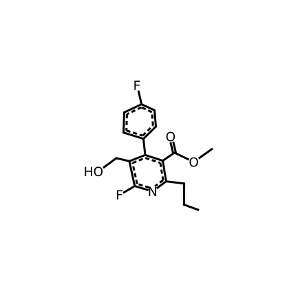 CCCc1nc(F)c(CO)c(-c2ccc(F)cc2)c1C(=O)OC